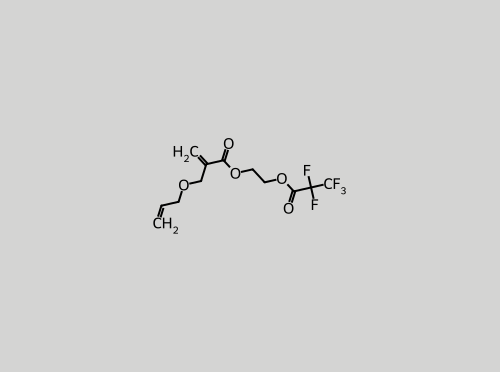 C=CCOCC(=C)C(=O)OCCOC(=O)C(F)(F)C(F)(F)F